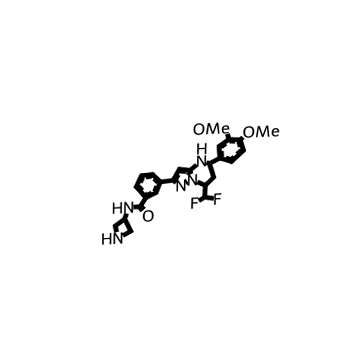 COc1ccc(C2CC(C(F)F)n3nc(-c4cccc(C(=O)NC5CNC5)c4)cc3N2)cc1OC